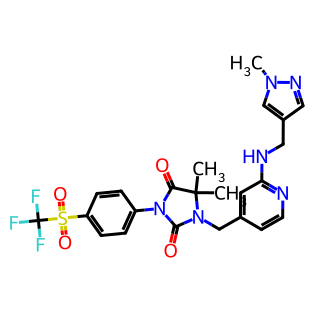 Cn1cc(CNc2cc(CN3C(=O)N(c4ccc(S(=O)(=O)C(F)(F)F)cc4)C(=O)C3(C)C)ccn2)cn1